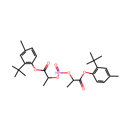 Cc1ccc(OC(=O)C(C)O[PH](=O)OC(C)C(=O)Oc2ccc(C)cc2C(C)(C)C)c(C(C)(C)C)c1